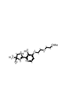 COCCOCCOc1ccnc(C2=NC(C)(C(C)=O)CN2)c1O